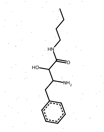 CCCCNC(=O)C(O)C(N)Cc1ccccc1